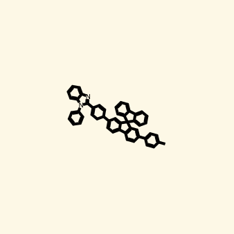 Cc1ccc(-c2ccc3c(c2)C2(c4ccccc4-c4ccccc42)c2cc(C4C=CC(c5nc6ccccc6n5-c5ccccc5)=CC4)ccc2-3)cc1